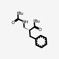 CC(C)(C)C(=O)NC[C@@H](Cc1ccccc1)C(=O)C(C)(C)C